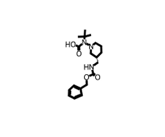 CC(C)(C)N(C(=O)O)N1CCC[C@H](CNC(=O)OCc2ccccc2)C1